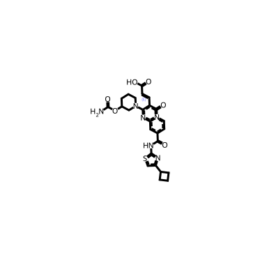 NC(=O)OC1CCCN(c2nc3cc(C(=O)Nc4nc(C5CCC5)cs4)ccn3c(=O)c2/C=C/C(=O)O)C1